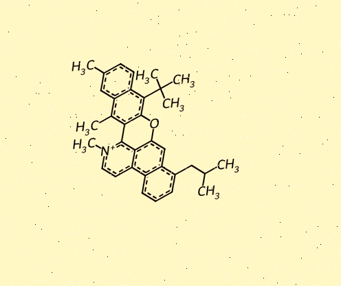 Cc1ccc2c(C(C)(C)C)c3c(c(C)c2c1)-c1c2c(cc4c(CC(C)C)cccc4c2cc[n+]1C)O3